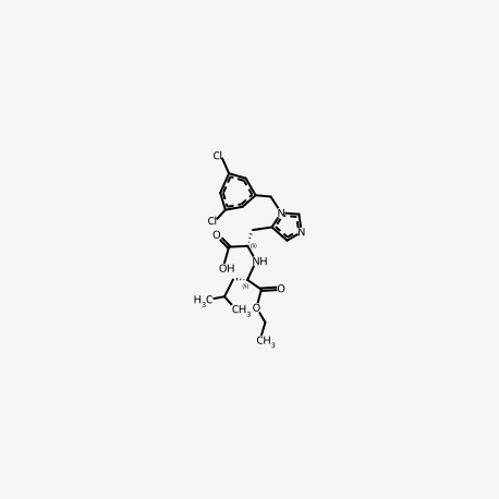 CCOC(=O)[C@H](CC(C)C)N[C@@H](Cc1cncn1Cc1cc(Cl)cc(Cl)c1)C(=O)O